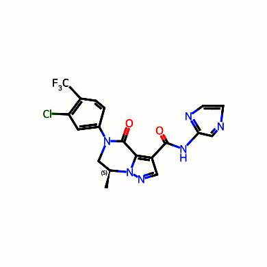 C[C@H]1CN(c2ccc(C(F)(F)F)c(Cl)c2)C(=O)c2c(C(=O)Nc3cnccn3)cnn21